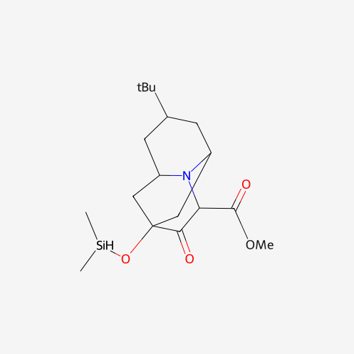 COC(=O)C1C(=O)C2(O[SiH](C)C)CC3CC(C(C)(C)C)CC(C2)N31